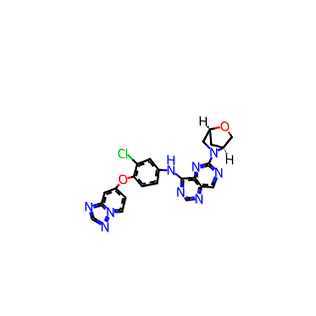 Clc1cc(Nc2ncnc3cnc(N4C[C@@H]5C[C@H]4CO5)nc23)ccc1Oc1ccn2ncnc2c1